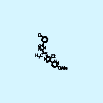 CCn1c(SC(C)c2noc(-c3cccc(Cl)c3)n2)nnc1-c1ccc(OC)nn1